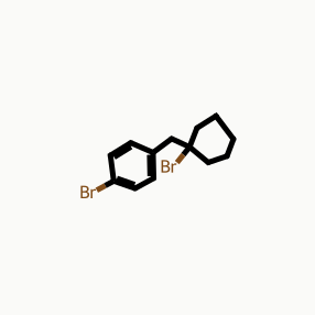 Brc1ccc(CC2(Br)CCCCC2)cc1